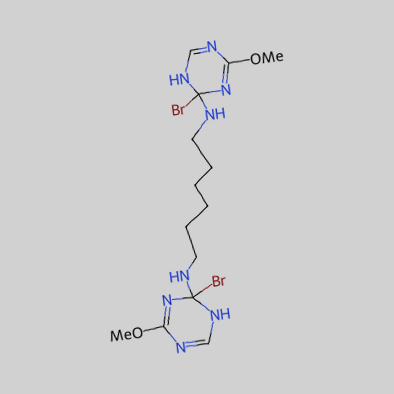 COC1=NC(Br)(NCCCCCCNC2(Br)N=C(OC)N=CN2)NC=N1